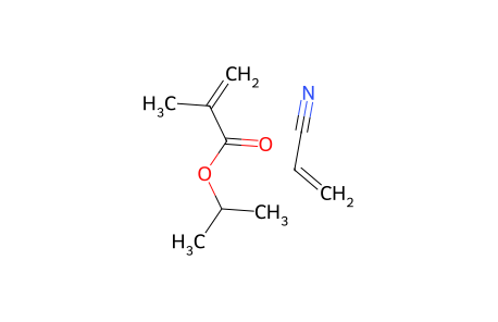 C=C(C)C(=O)OC(C)C.C=CC#N